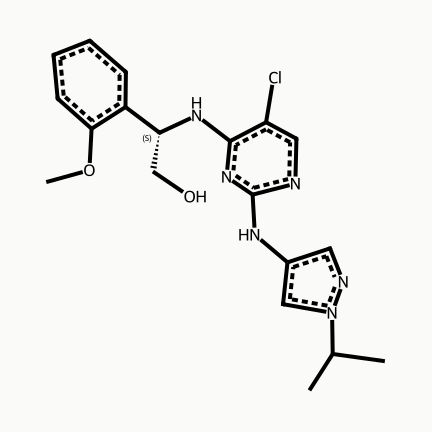 COc1ccccc1[C@@H](CO)Nc1nc(Nc2cnn(C(C)C)c2)ncc1Cl